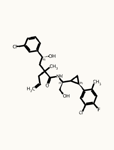 C=CCC(C)(C[C@@H](O)c1cccc(Cl)c1)C(=O)N[C@H](CO)C1C[C@H]1c1cc(Cl)c(F)cc1C